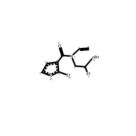 C=CN(CC(CC)CCCC)C(=O)c1ccsc1CC